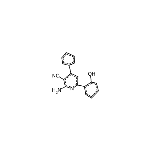 N#Cc1c(-c2ccccc2)cc(-c2ccccc2O)nc1N